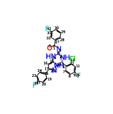 O=C(/N=C(/NCc1ccc(F)cc1Cl)Nc1cc(-c2ccc(F)cc2)n[nH]1)c1cccc(F)c1